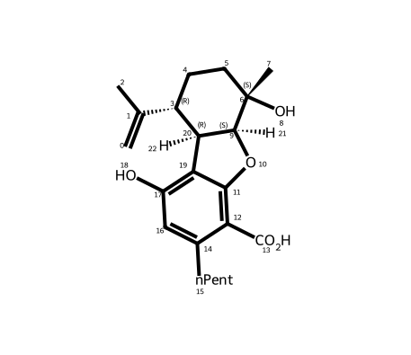 C=C(C)[C@@H]1CC[C@](C)(O)[C@H]2Oc3c(C(=O)O)c(CCCCC)cc(O)c3[C@@H]12